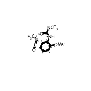 COc1ccccc1NC(=O)NC(F)(F)F.O=C=NC(F)(F)F